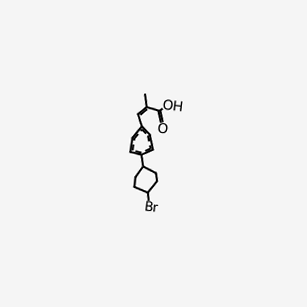 CC(=Cc1ccc(C2CCC(Br)CC2)cc1)C(=O)O